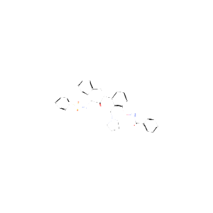 O=C(NOc1cccc([C@H](Cc2ccccc2)C(=O)CNS(=O)(=O)c2ccccc2)c1CN1CCCC1)c1ccccc1